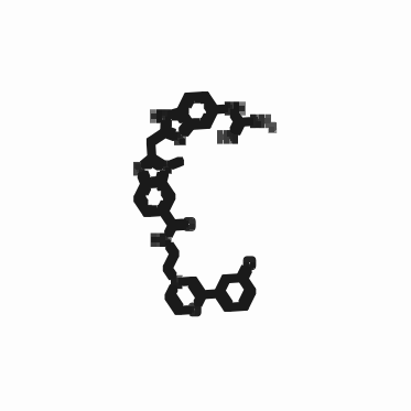 Cn1c(Cc2nc3cc(NC(=N)N)ccc3[nH]2)nc2ccc(C(=O)NCCN3C=COC(C4=CC=CC(=O)C4)=C3)cc21